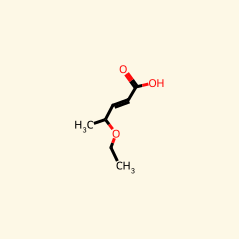 CCOC(C)/C=C/C(=O)O